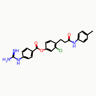 Cc1ccc(NC(=O)CCc2ccc(OC(=O)c3ccc(NC(=N)N)cc3)cc2Cl)cc1